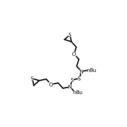 CCCCN(CCOCC1CS1)SSN(CCCC)CCOCC1CS1